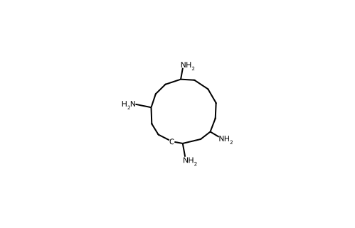 NC1CCCCC(N)CC(N)CCCC(N)CC1